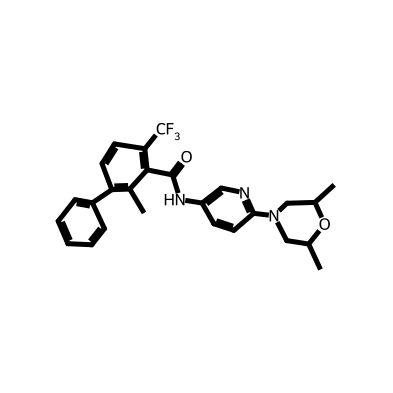 Cc1c(-c2ccccc2)ccc(C(F)(F)F)c1C(=O)Nc1ccc(N2CC(C)OC(C)C2)nc1